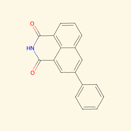 O=C1NC(=O)c2cc(-c3ccccc3)cc3cccc1c23